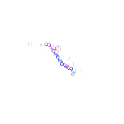 CCCOc1ccc2ccc(NC(=O)c3ccc(N=Nc4ccc(N=Nc5cc(C)c(N=Nc6ccc7cc(Nc8ccccc8)ccc7c6O)cc5C)cc4C)c(OC)c3)cc2c1